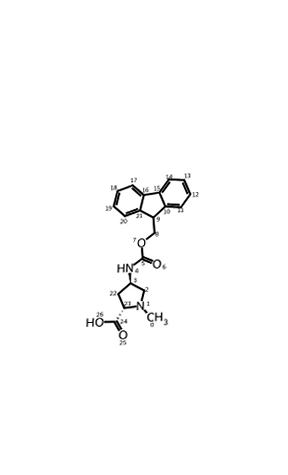 CN1C[C@H](NC(=O)OCC2c3ccccc3-c3ccccc32)C[C@H]1C(=O)O